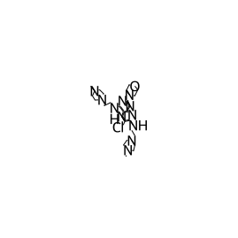 CN1CCN(CCNc2nc3nc(N4CCOCC4)nc(NCCN4CCN(C)CC4)c3nc2Cl)CC1